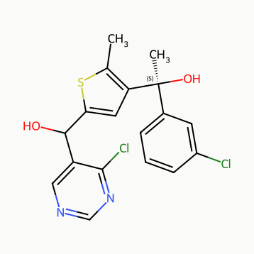 Cc1sc(C(O)c2cncnc2Cl)cc1[C@@](C)(O)c1cccc(Cl)c1